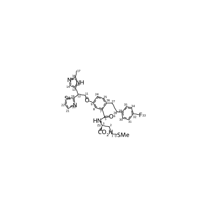 CSCC[C@H](NC(=O)c1cc(OCC(c2cnc(C)[nH]2)c2nccs2)ccc1CCc1ccc(F)cc1)C(=O)O